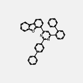 c1ccc(-c2ccc(-c3nc(-c4ccccc4-c4ccccc4)cc(-c4cccc5c4oc4ccccc45)n3)cc2)cc1